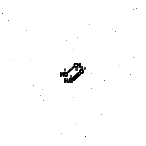 CO.[O]=[AlH]